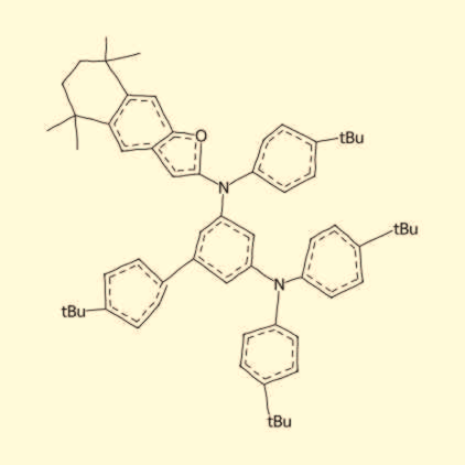 CC(C)(C)c1ccc(-c2cc(N(c3ccc(C(C)(C)C)cc3)c3ccc(C(C)(C)C)cc3)cc(N(c3ccc(C(C)(C)C)cc3)c3cc4cc5c(cc4o3)C(C)(C)CCC5(C)C)c2)cc1